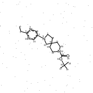 CCc1ncc(N2CCC3(CCN(C(=O)OC(C)(C)C)CC3)C2)cn1